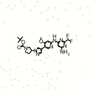 COc1cc(Nc2cc(N)nc(C(F)F)n2)ncc1-c1cnn(C2CCN(C(=O)OC(C)(C)C)C2)c1